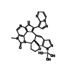 Cn1c(=O)n(C2CCOCC2)c2c3c(-c4ccc5c(cnn5C(O)(O)O)c4)c(-c4cnn5cccnc45)[nH]c3ncc21